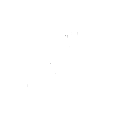 O/N=C(\Cl)Cc1ccc(Oc2ccc(F)cc2)nc1